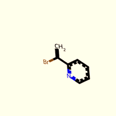 C=C(Br)c1ccccn1